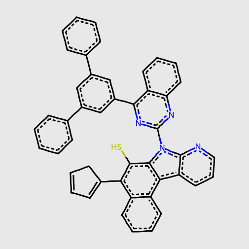 Sc1c(C2=CC=CC2)c2ccccc2c2c3cccnc3n(-c3nc(-c4cc(-c5ccccc5)cc(-c5ccccc5)c4)c4ccccc4n3)c12